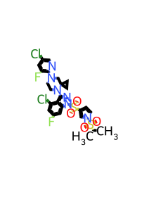 CC(C)S(=O)(=O)n1ccc(S(=O)(=O)n2nc(N3CCN(c4ncc(Cl)cc4F)CC34CC4)c3c(Cl)cc(F)cc32)c1